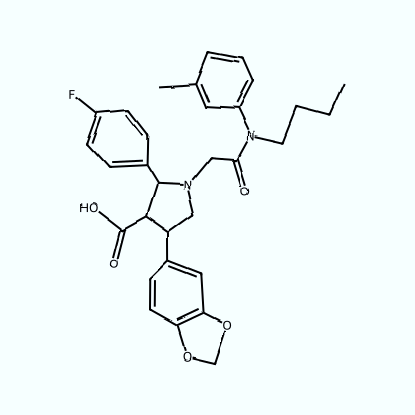 CCCCN(C(=O)CN1CC(c2ccc3c(c2)OCO3)C(C(=O)O)C1c1ccc(F)cc1)c1cccc(C)c1